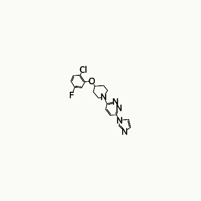 Fc1ccc(Cl)c(OC2CCN(c3ccc(-n4ccnc4)nn3)CC2)c1